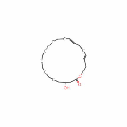 O=C1C[C@H](O)CCCCCCCCCCCC/C=C/CC/C=C/CCO1